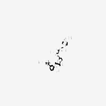 Cc1nc(-c2ccc(C)c(NC(=O)c3cnc4ccc(-c5nc(C)c(C(=O)NCCN6CCN(C)CC6)s5)cn34)c2)no1